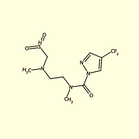 CN(CCN(C)C(=O)n1cc(C(F)(F)F)cn1)C[SH](=O)=O